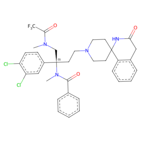 CN(C[C@](CCN1CCC2(CC1)NC(=O)Cc1ccccc12)(c1ccc(Cl)c(Cl)c1)N(C)C(=O)c1ccccc1)C(=O)C(F)(F)F